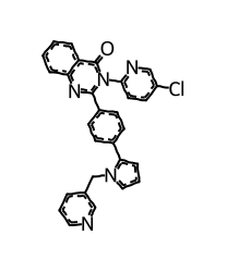 O=c1c2ccccc2nc(-c2ccc(-c3cccn3Cc3cccnc3)cc2)n1-c1ccc(Cl)cn1